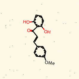 COc1ccc(/C=C/C(=O)c2c(O)cccc2O)cc1